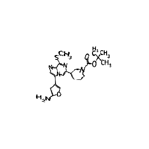 CSc1nc(C2=CCCN(C(=O)OC(C)(C)C)C2)cn2c(C3=COC(N)C3)cnc12